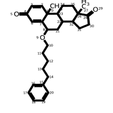 CC12C=CC(=O)C=C1C(OCCCCCc1ccccc1)CC1C2CCC2(C)C(=O)CCC12